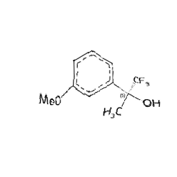 COc1cccc([C@](C)(O)C(F)(F)F)c1